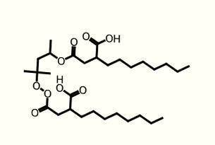 CCCCCCCCC(CC(=O)OOC(C)(C)CC(C)OC(=O)CC(CCCCCCCC)C(=O)O)C(=O)O